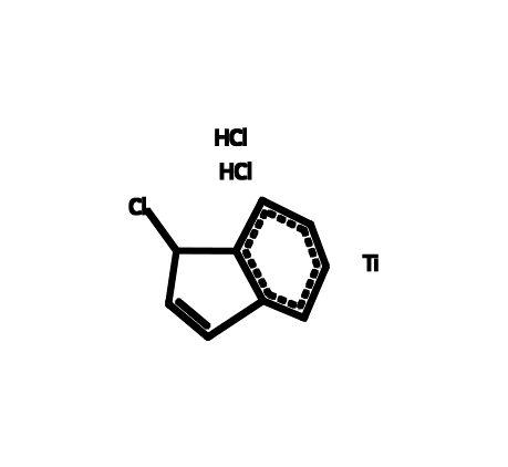 Cl.Cl.ClC1C=Cc2ccccc21.[Ti]